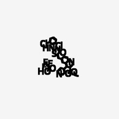 CCOC(=O)c1cnc2ccc(C=C3SC(Nc4c(Cl)cccc4Cl)=NC3=O)cc2c1-c1ccncc1.O=C(O)C(F)(F)F